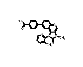 Cc1cccnc1-n1c(=O)n(C)c2cnc3ccc(-c4ccc(C(N)=O)cc4)cc3c21